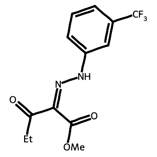 CCC(=O)C(=NNc1cccc(C(F)(F)F)c1)C(=O)OC